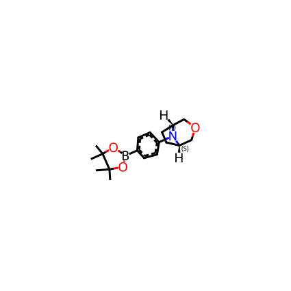 CC1(C)OB(c2ccc(N3[C@@H]4CC[C@H]3COC4)cc2)OC1(C)C